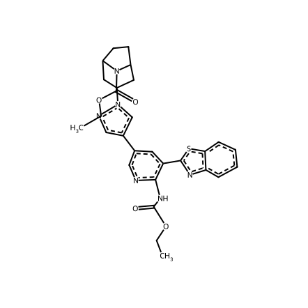 CCOC(=O)Nc1ncc(-c2cnn(C3CC4CCC(C3)N4C(=O)OCC)c2)cc1-c1nc2ccccc2s1